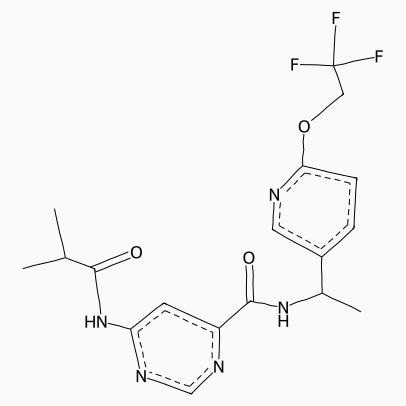 CC(C)C(=O)Nc1cc(C(=O)NC(C)c2ccc(OCC(F)(F)F)nc2)ncn1